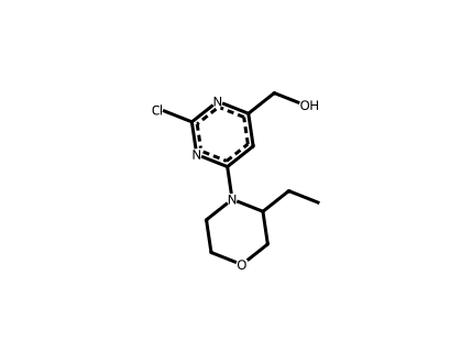 CCC1COCCN1c1cc(CO)nc(Cl)n1